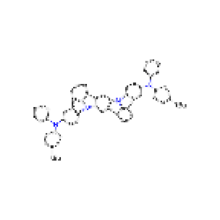 CC(C)(C)c1ccc(N(c2ccccc2)c2ccc3c(c2)c2cccc4c5cc6c(cc5n3c24)c2cccc3c4cc(N(c5ccccc5)c5ccc(C(C)(C)C)cc5)ccc4n6c32)cc1